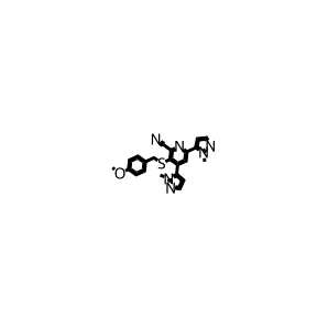 COc1ccc(CSc2c(-c3ccnn3C)cc(-c3ccnn3C)nc2C#N)cc1